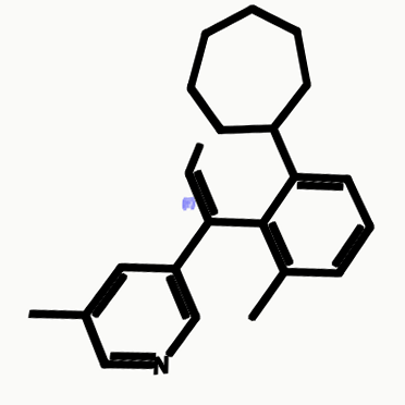 C/C=C(/c1cncc(C)c1)c1c(C)cccc1C1CCCCCC1